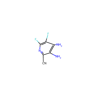 N#Cc1nc(F)c(F)c(N)c1N